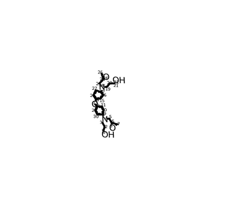 OCCCN(CC1CO1)c1ccc(Oc2ccc(N(CCCO)CC3CO3)cc2)cc1